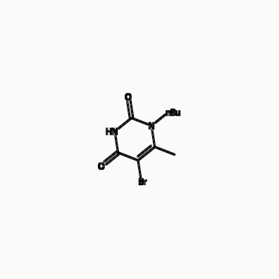 CCCCn1c(C)c(Br)c(=O)[nH]c1=O